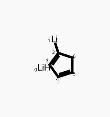 [LiH].[Li][C]1=CC=CC1